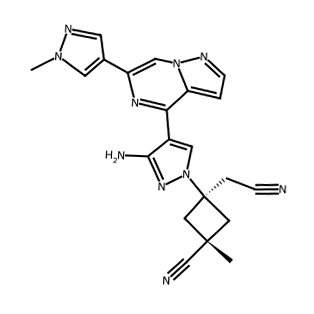 Cn1cc(-c2cn3nccc3c(-c3cn([C@]4(CC#N)C[C@@](C)(C#N)C4)nc3N)n2)cn1